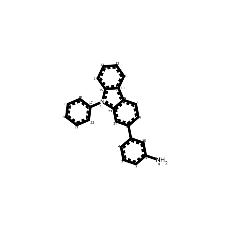 Nc1cccc(-c2ccc3c4ccccc4n(-c4ccccc4)c3c2)c1